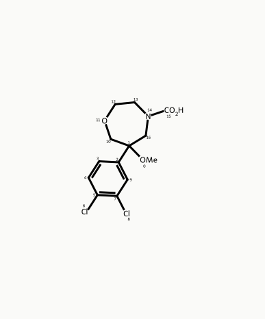 COC1(c2ccc(Cl)c(Cl)c2)COCCN(C(=O)O)C1